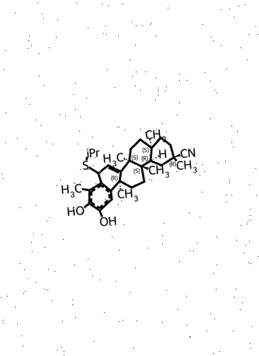 Cc1c(O)c(O)cc2c1C(SC(C)C)C=C1[C@@]2(C)CC[C@@]2(C)[C@@H]3C[C@](C)(C#N)CC[C@]3(C)CC[C@]12C